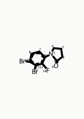 O=C1CCCN1c1ccc(Br)c(Br)c1F